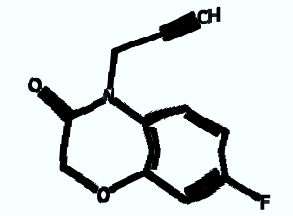 C#CCN1C(=O)COc2cc(F)ccc21